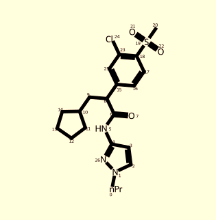 CCCn1ccc(NC(=O)C(CC2CCCC2)c2ccc(S(C)(=O)=O)c(Cl)c2)n1